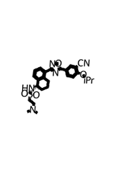 CC(C)Oc1ccc(-c2nc(-c3cccc4c3CCC[C@H]4NS(=O)(=O)CCN(C)C)no2)cc1C#N